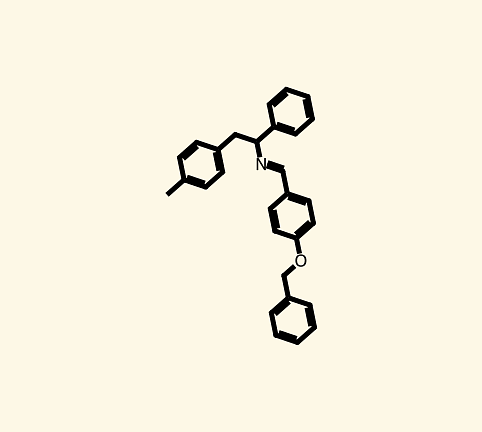 Cc1ccc(CC(N=Cc2ccc(OCc3ccccc3)cc2)c2ccccc2)cc1